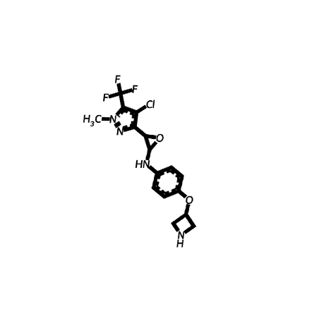 Cn1nc(C2OC2Nc2ccc(OC3CNC3)cc2)c(Cl)c1C(F)(F)F